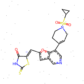 O=C1NC(=S)S/C1=C\c1cc2cncc(C3=CCN(S(=O)(=O)C4CC4)CC3)c2o1